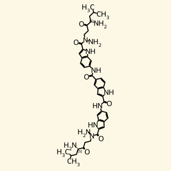 CC(C)C[C@H](N)C(=O)CCN(N)C(=O)c1cc2ccc(NC(=O)c3ccc4[nH]c(C(=O)Nc5ccc6cc(C(=O)N(N)CCC(=O)[C@@H](N)CC(C)C)[nH]c6c5)cc4c3)cc2[nH]1